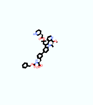 CCn1c(-c2cccnc2[C@H](C)OC)c(CC(C)(C)OC(=O)C[C@@H]2CCCNC2)c2cc(-c3cccc(C[C@H](NC(=O)OCc4ccccc4)C(=O)O)c3)ccc21